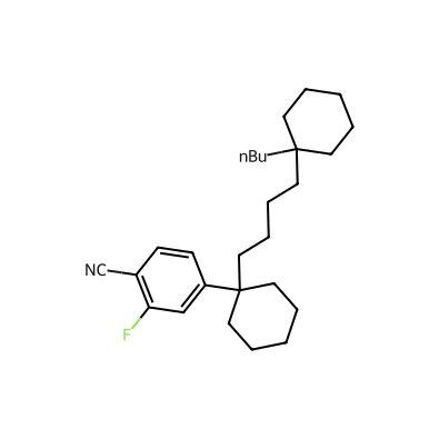 CCCCC1(CCCCC2(c3ccc(C#N)c(F)c3)CCCCC2)CCCCC1